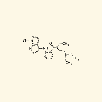 CCN(CC)CCN(CC)C(=O)c1ccccc1Nc1ccnc2c(Cl)cccc12